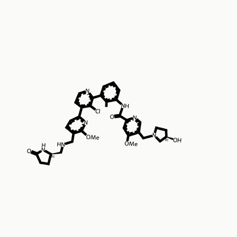 COc1cc(C(=O)Nc2cccc(-c3nccc(-c4ccc(CNC[C@H]5CCC(=O)N5)c(OC)n4)c3Cl)c2C)ncc1CN1CC[C@@H](O)C1